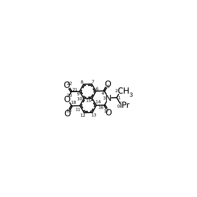 CC(C)C(C)N1C(=O)c2ccc3c4c(ccc(c24)C1=O)C(=O)OC3=O